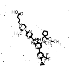 CCOCC1(CN(C)c2cc(-c3cnc(C4CC4)c(C(F)(F)F)c3)nc3nc(-c4cnc(N5CCN(CCCC(=O)O)C[C@H]5C)cn4)[nH]c23)CCCC1